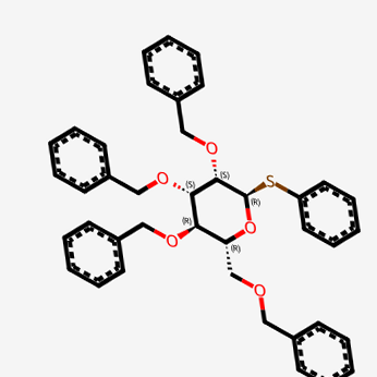 c1ccc(COC[C@H]2O[C@H](Sc3ccccc3)[C@@H](OCc3ccccc3)[C@@H](OCc3ccccc3)[C@@H]2OCc2ccccc2)cc1